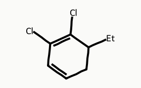 CCC1CC=CC(Cl)=C1Cl